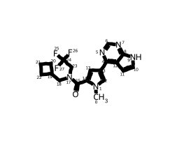 Cn1cc(-c2ncnc3[nH]ccc23)cc1C(=O)N(CC1CCC1)CC(F)(F)F